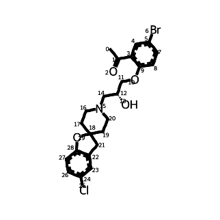 CC(=O)c1cc(Br)ccc1OC[C@H](O)CN1CCC2(CC1)Cc1cc(Cl)ccc1O2